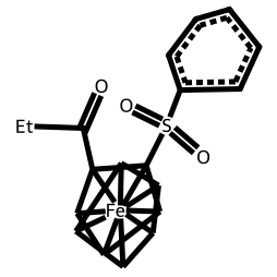 CCC(=O)[C]12[CH]3[CH]4[CH]5[C]1(S(=O)(=O)c1ccccc1)[Fe]43521678[CH]2[CH]1[CH]6[CH]7[CH]28